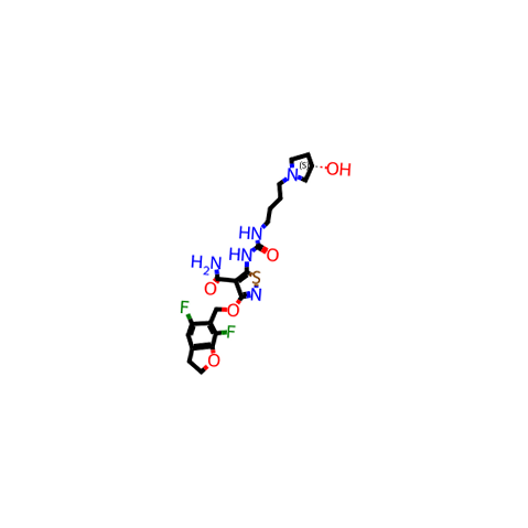 NC(=O)c1c(OCc2c(F)cc3c(c2F)OCC3)nsc1NC(=O)NCCCCN1CC[C@H](O)C1